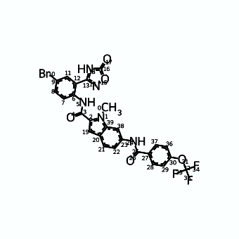 Cn1c(C(=O)Nc2ccc(Br)cc2-c2noc(=O)[nH]2)cc2ccc(NC(=O)c3ccc(OC(F)(F)F)cc3)cc21